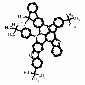 CC(C)(C)c1ccc(N2B3c4cc5c(cc4-n4c6ccc(C(C)(C)C)cc6c6c7sc8ccccc8c7c(c3c64)-c3cc4c(cc32)oc2cc(C(C)(C)C)ccc24)-c2ccccc2C5(C)C)cc1